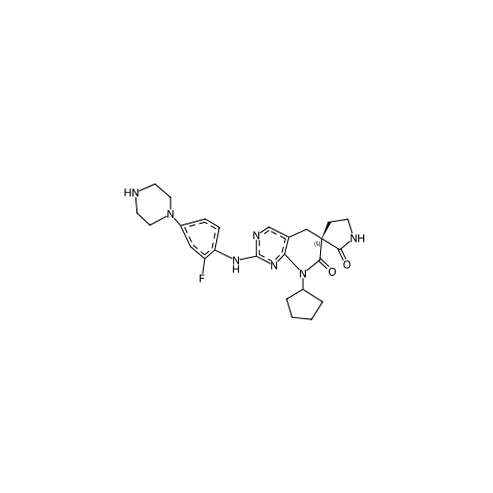 O=C1NCC[C@@]12Cc1cnc(Nc3ccc(N4CCNCC4)cc3F)nc1N(C1CCCC1)C2=O